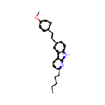 CCCCCc1ccc2c(n1)[nH]c1ccc(C=Cc3ccc(OC)cc3)cc12